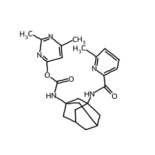 Cc1cccc(C(=O)NC23CC4CC(CC(NC(=O)Oc5cc(C)nc(C)n5)(C4)C2)C3)n1